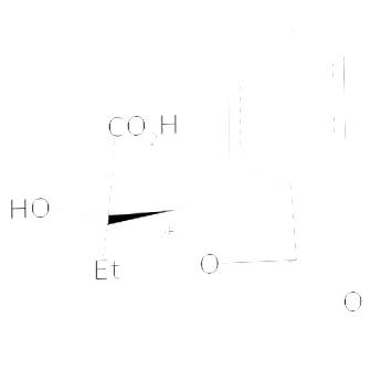 CCC(O)(C(=O)O)[C@@H]1OC(=O)c2ccccc21